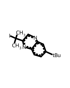 CC(C)(C)c1ccc2nc(C(C)(C)I)cnc2c1